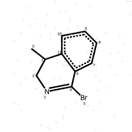 CC1CN=C(Br)c2ccccc21